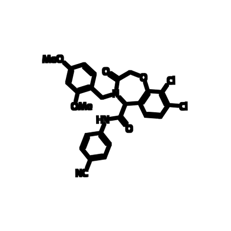 COc1ccc(CN2C(=O)COc3c(ccc(Cl)c3Cl)C2C(=O)Nc2ccc(C#N)cc2)c(OC)c1